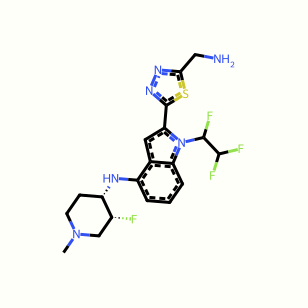 CN1CC[C@H](Nc2cccc3c2cc(-c2nnc(CN)s2)n3C(F)C(F)F)[C@H](F)C1